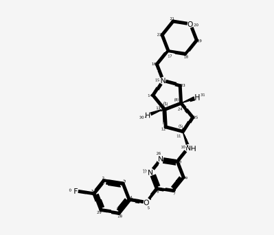 Fc1ccc(Oc2ccc(N[C@H]3C[C@@H]4CN(CC5CCOCC5)C[C@@H]4C3)nn2)cc1